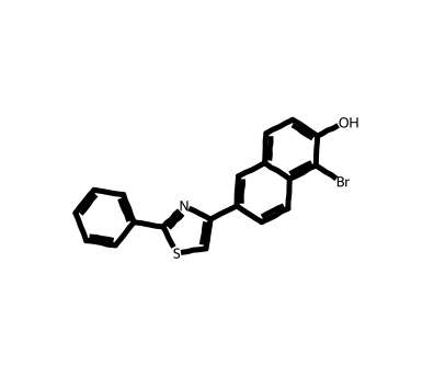 Oc1ccc2cc(-c3csc(-c4ccccc4)n3)ccc2c1Br